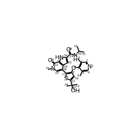 Cc1cncc(C)c1Oc1cc(C(C)(C)O)sc1-c1cn(C)c(=O)c2[nH]c(C(=O)NC(C)C)cc12